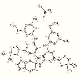 COc1cc(C)nc(Nc2nc(NC3(Nc4cc(N5CCC(C)(C)C5)nc(Nc5cc(OC)cc(C)n5)n4)C=Cn4ccnc4C3)cc(N3CCC(C)(C)C3)n2)c1.O=C(O)O